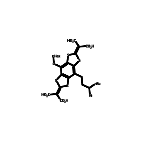 CCCCCCOc1c2c(c(CCC(CC)CCCC)c3c1SC(=C(C(=O)O)C(=O)O)S3)SC(=C(C(=O)O)C(=O)O)S2